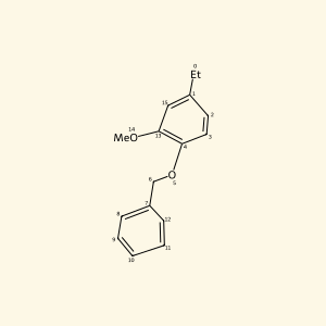 CCc1ccc(OCc2ccccc2)c(OC)c1